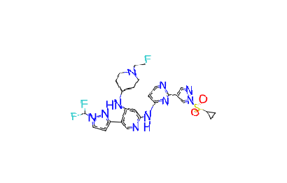 O=S(=O)(C1CC1)n1cc(-c2nccc(Nc3cc(NC4CCN(CCF)CC4)c(-c4ccn(C(F)F)n4)cn3)n2)cn1